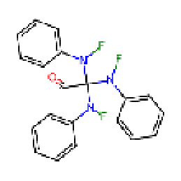 O=[C]C(N(F)c1ccccc1)(N(F)c1ccccc1)N(F)c1ccccc1